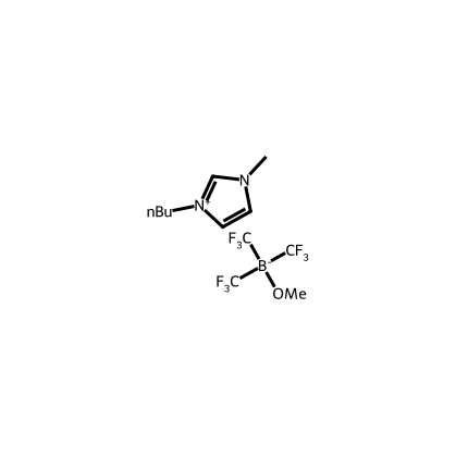 CCCC[n+]1ccn(C)c1.CO[B-](C(F)(F)F)(C(F)(F)F)C(F)(F)F